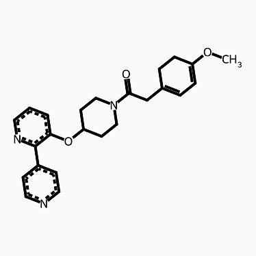 COC1=CC=C(CC(=O)N2CCC(Oc3cccnc3-c3ccncc3)CC2)CC1